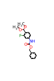 COC(OC)c1ccc(NC(=O)OCc2ccccc2)cc1F